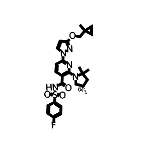 C[C@@H]1CN(c2nc(-n3ccc(OCC4(C)CC4)n3)ccc2C(=O)NS(=O)(=O)c2ccc(F)cc2)C(C)(C)C1